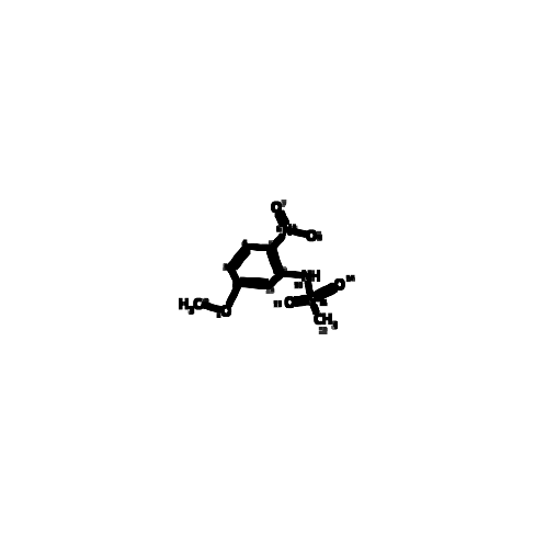 COc1ccc([N+](=O)[O-])c(NS(C)(=O)=O)c1